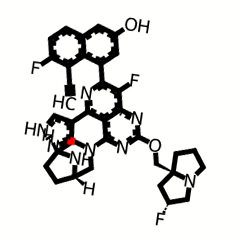 C#Cc1c(F)ccc2cc(O)cc(-c3nc(-c4cn[nH]c4)c4c(N5C[C@H]6CC[C@@H](C5)N6)nc(OC[C@@]56CCCN5C[C@H](F)C6)nc4c3F)c12